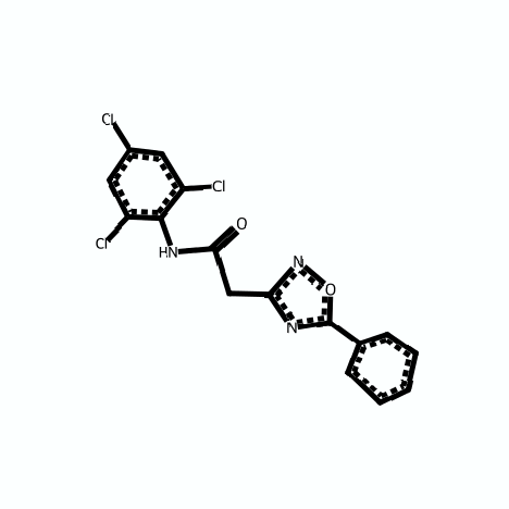 O=C(Cc1noc(-c2ccccc2)n1)Nc1c(Cl)cc(Cl)cc1Cl